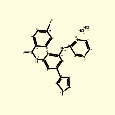 C[C@H](Nc1cc(-c2cc[nH]c2)cc(Nc2cnccn2)n1)c1ccc(F)cc1.Cl.Cl